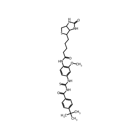 COc1cc(NC(=S)NC(=O)c2ccc(C(C)(C)C)cc2)ccc1NC(=O)CCCCC1SCC2NC(=O)NC21